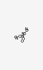 c1ccc(-c2ccc3c(c2)c2c4ccccc4ccc2n3-c2ccc(-c3cccnc3)cn2)nc1